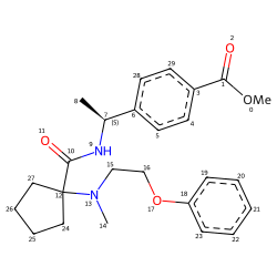 COC(=O)c1ccc([C@H](C)NC(=O)C2(N(C)CCOc3ccccc3)CCCC2)cc1